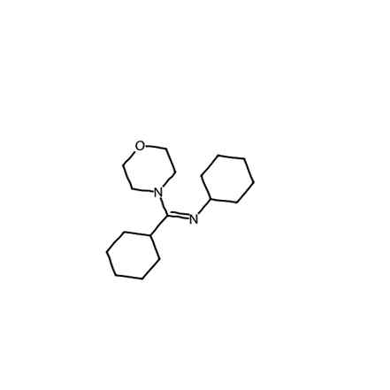 C1CCC(N=C(C2CCCCC2)N2CCOCC2)CC1